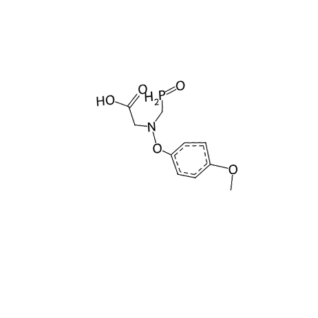 COc1ccc(ON(C[PH2]=O)CC(=O)O)cc1